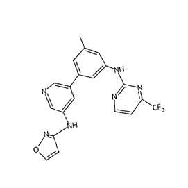 Cc1cc(Nc2nccc(C(F)(F)F)n2)cc(-c2cncc(Nc3ccon3)c2)c1